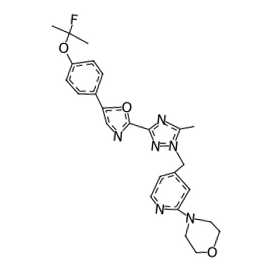 Cc1nc(-c2ncc(-c3ccc(OC(C)(C)F)cc3)o2)nn1Cc1ccnc(N2CCOCC2)c1